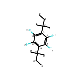 CCC(C)(C)c1c(F)c(F)c(C(C)(C)CC)c(F)c1F